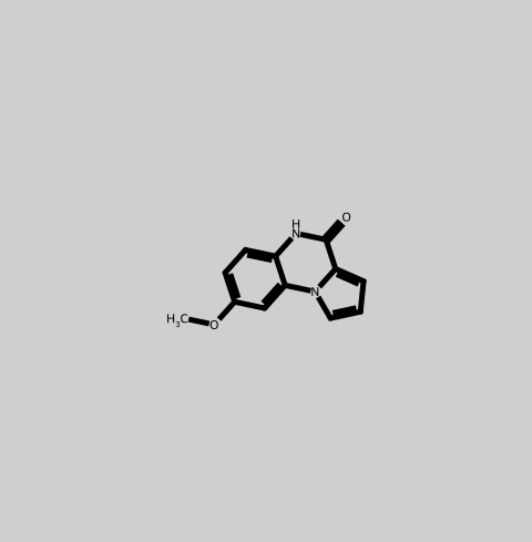 COc1ccc2[nH]c(=O)c3cccn3c2c1